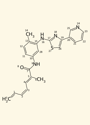 C=C/C=C\C=C(/C)C(=O)Nc1ccc(C)c(Nc2nc(-c3cccnc3)cs2)c1